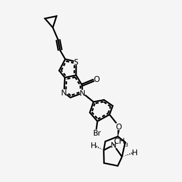 CN1[C@@H]2CC[C@H]1C[C@@H](Oc1ccc(-n3cnc4cc(C#CC5CC5)sc4c3=O)cc1Br)C2